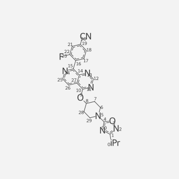 CC(C)c1noc(N2CCC(Oc3ncnc4c(-c5ccc(C#N)cc5F)nccc34)CC2)n1